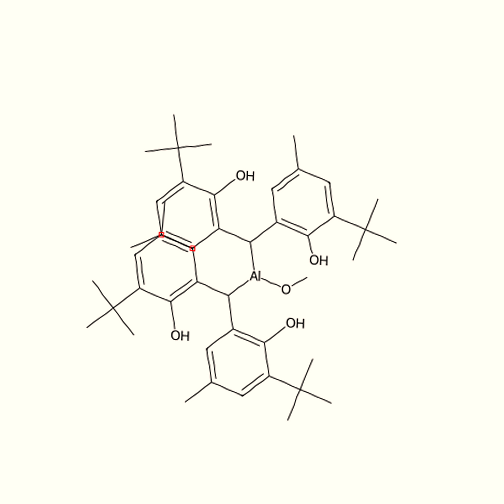 C[O][Al]([CH](c1cc(C)cc(C(C)(C)C)c1O)c1cc(C)cc(C(C)(C)C)c1O)[CH](c1cc(C)cc(C(C)(C)C)c1O)c1cc(C)cc(C(C)(C)C)c1O